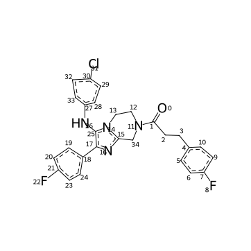 O=C(CCc1ccc(F)cc1)N1CCn2c(nc(-c3ccc(F)cc3)c2Nc2ccc(Cl)cc2)C1